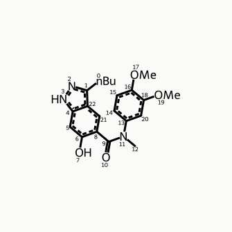 CCCCc1n[nH]c2cc(O)c(C(=O)N(C)c3ccc(OC)c(OC)c3)cc12